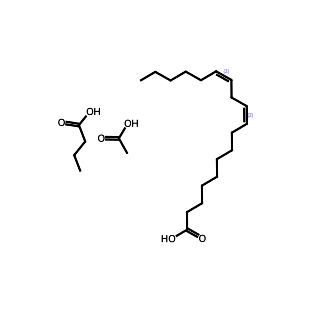 CC(=O)O.CCCC(=O)O.CCCCC/C=C\C/C=C\CCCCCCCC(=O)O